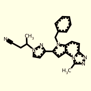 Cc1nnc2ccc3c(cc(-c4ccn(C(C)CC#N)n4)n3Cc3ccccc3)n12